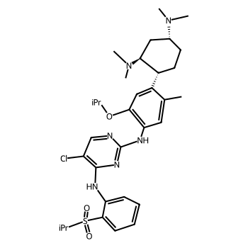 Cc1cc(Nc2ncc(Cl)c(Nc3ccccc3S(=O)(=O)C(C)C)n2)c(OC(C)C)cc1[C@H]1CC[C@@H](N(C)C)C[C@@H]1N(C)C